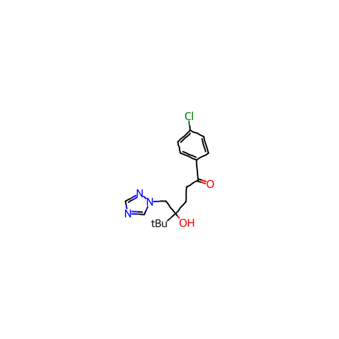 CC(C)(C)C(O)(CCC(=O)c1ccc(Cl)cc1)Cn1cncn1